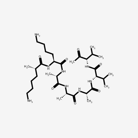 CC(=O)[C@@H](NC(=O)[C@@H](NC(=O)[C@H](C)NC(=O)[C@H](C)NC(=O)[C@H](C)NC(=O)[C@H](CCCCN)NC(=O)[C@@H](C)CCCCN)C(C)C)C(C)C